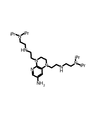 CC(C)N(CCNCCN1CCN(CCNCCN(C(C)C)C(C)C)c2ncc(N)cc21)C(C)C